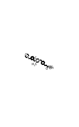 C[C@@H]1CN(Cc2ccc(/C=C/C(=O)NO)cc2)C[C@H](C)N1Cc1cccc(CN2CCOCC2)c1